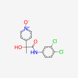 CC(O)(C(=O)Nc1ccc(Cl)c(Cl)c1)c1cc[n+]([O-])cc1